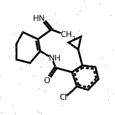 CC(=N)C1=C(NC(=O)c2c(Cl)cccc2C2CC2)CCCC1